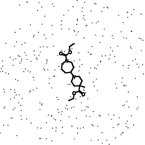 CCOC(=O)N1CCCC(N2CCC(C)(C(=O)OCC)CC2)CC1